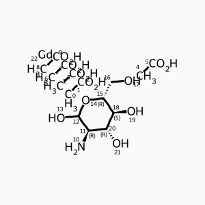 CC(=O)O.CC(=O)O.CC(=O)O.CC(=O)O.CC(=O)O.N[C@H]1C(O)O[C@H](CO)[C@@H](O)[C@@H]1O.[Gd]